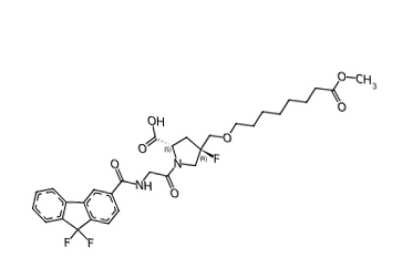 COC(=O)CCCCCCCOC[C@@]1(F)C[C@@H](C(=O)O)N(C(=O)CNC(=O)c2ccc3c(c2)-c2ccccc2C3(F)F)C1